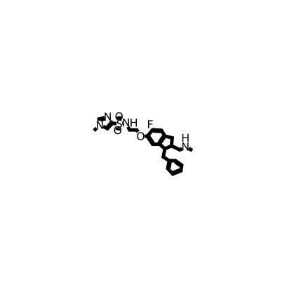 CNCC1Cc2cc(F)c(OCCNS(=O)(=O)c3cn(C)cn3)cc2C1Cc1ccccc1